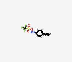 C#Cc1ccc(NOS(=O)(=O)C(F)(F)F)cc1